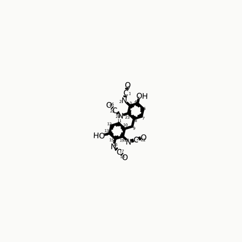 O=C=Nc1c(O)ccc(Cc2ccc(O)c(N=C=O)c2N=C=O)c1N=C=O